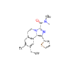 CCc1cc2c(cc1CC(C)C)-c1c(-c3cccs3)nc(C(=O)N(C)C(C)(C)C)n1CC2